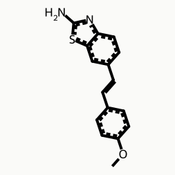 COc1ccc(C=Cc2ccc3nc(N)sc3c2)cc1